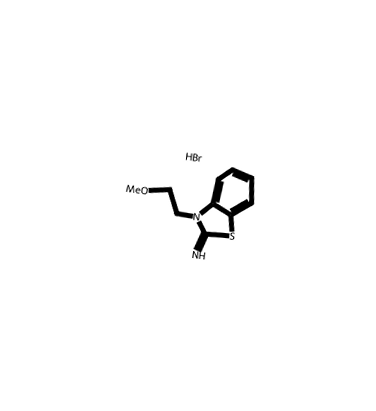 Br.COCCn1c(=N)sc2ccccc21